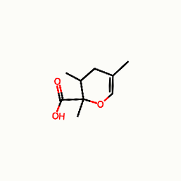 CC1=COC(C)(C(=O)O)C(C)C1